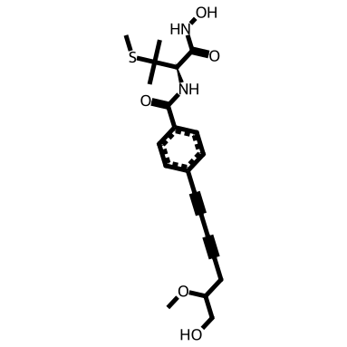 COC(CO)CC#CC#Cc1ccc(C(=O)N[C@H](C(=O)NO)C(C)(C)SC)cc1